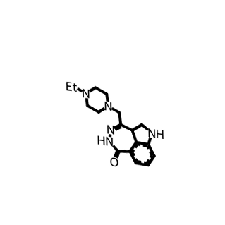 CCN1CCN(CC2=NNC(=O)c3cccc4c3C2CN4)CC1